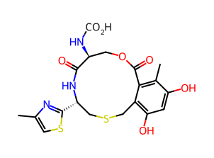 Cc1csc([C@H]2CSCc3c(O)cc(O)c(C)c3C(=O)OC[C@H](NC(=O)O)C(=O)N2)n1